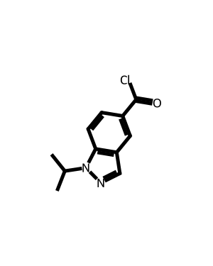 CC(C)n1ncc2cc(C(=O)Cl)ccc21